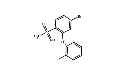 CS(=N)(=O)c1ccc(Br)cc1C(F)(F)F.Ic1ccccc1